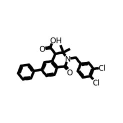 CC1(C)C(C(=O)O)c2cc(-c3ccccc3)ccc2C(=O)N1Cc1ccc(Cl)c(Cl)c1